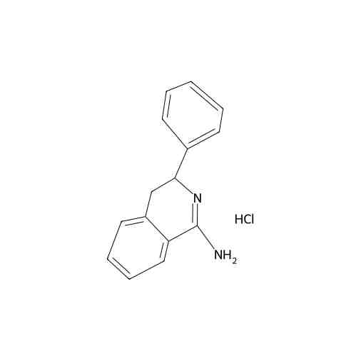 Cl.NC1=NC(c2ccccc2)Cc2ccccc21